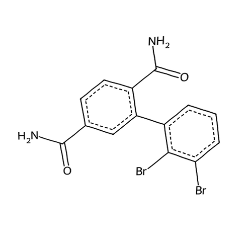 NC(=O)c1ccc(C(N)=O)c(-c2cccc(Br)c2Br)c1